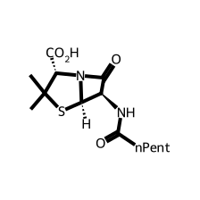 CCCCCC(=O)N[C@@H]1C(=O)N2[C@@H]1SC(C)(C)[C@@H]2C(=O)O